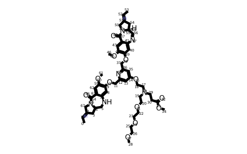 C/C=C1\CC2CNc3cc(OCc4cc(OCCN(CCOCCOCCOC)CCC(=O)OC)cc(COc5cc6c(cc5OC)C(=O)N5C/C(=C/C)C[C@H]5C=N6)n4)c(OC)cc3C(=O)N2C1